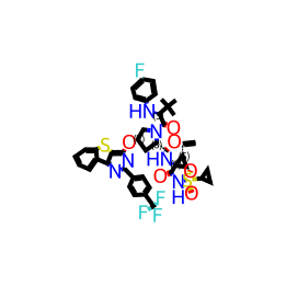 C=C[C@@H]1C[C@]1(NC(=O)[C@@H]1C[C@@H](Oc2nc(-c3ccc(C(F)(F)F)cc3)nc3c2sc2ccccc23)CN1C(=O)[C@@H](Nc1ccc(F)cc1)C(C)(C)C)C(=O)NS(=O)(=O)C1CC1